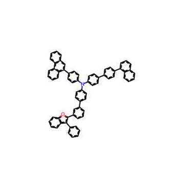 c1ccc(-c2c(-c3cccc(-c4ccc(N(c5ccc(-c6ccc(-c7cccc8ccccc78)cc6)cc5)c5ccc(-c6cc7ccccc7c7ccccc67)cc5)cc4)c3)oc3ccccc23)cc1